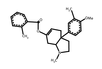 COc1ccc(C23CC=C(OC(=O)c4ccccc4C)CC2N(C)CC3)cc1C